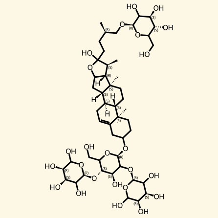 C[C@H](CCC1(O)OC2C[C@H]3[C@@H]4CC=C5CC(O[C@@H]6OC(CO)[C@@H](O[C@@H]7OC(O)[C@H](O)[C@H](O)C7O)[C@H](O)C6O[C@@H]6OC(O)[C@H](O)[C@H](O)C6O)CC[C@]5(C)[C@H]4CC[C@]3(C)[C@H]2[C@@H]1C)CO[C@@H]1OC(CO)[C@@H](O)[C@H](O)C1O